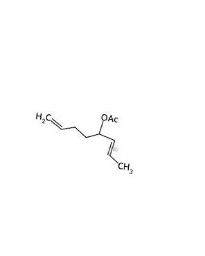 C=CCCC(/C=C/C)OC(C)=O